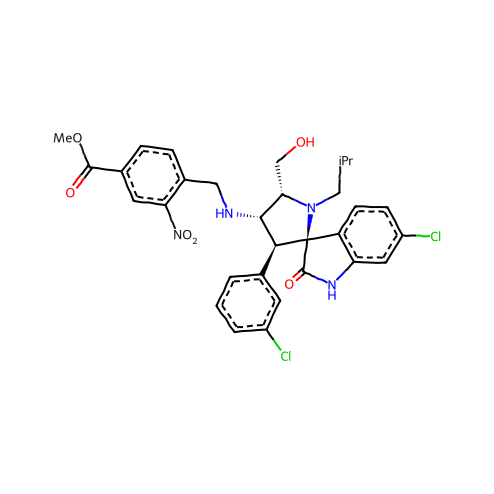 COC(=O)c1ccc(CN[C@@H]2[C@H](CO)N(CC(C)C)[C@@]3(C(=O)Nc4cc(Cl)ccc43)[C@H]2c2cccc(Cl)c2)c([N+](=O)[O-])c1